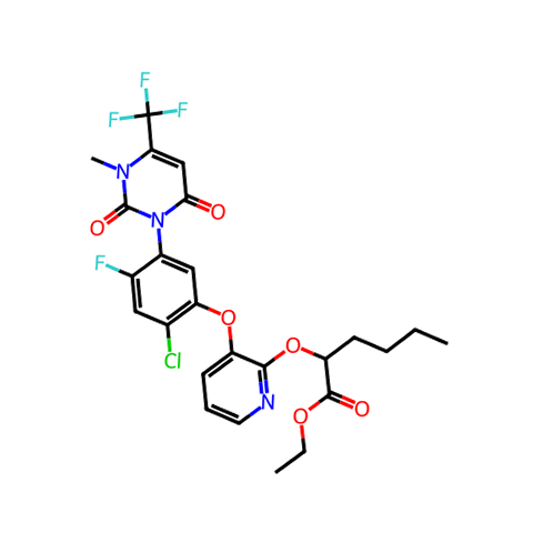 CCCCC(Oc1ncccc1Oc1cc(-n2c(=O)cc(C(F)(F)F)n(C)c2=O)c(F)cc1Cl)C(=O)OCC